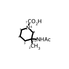 CC(=O)NC1(C)CCCN(C(=O)O)C1